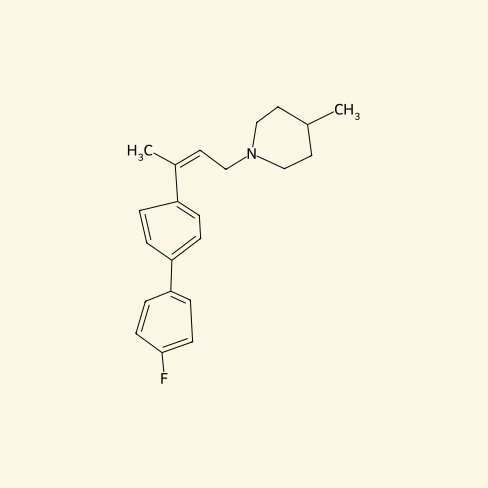 CC(=CCN1CCC(C)CC1)c1ccc(-c2ccc(F)cc2)cc1